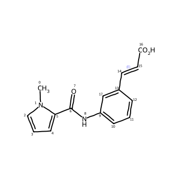 Cn1cccc1C(=O)Nc1cccc(/C=C/C(=O)O)c1